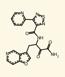 NC(=O)C(=O)C(Cc1coc2ccncc12)NC(=O)c1nsnc1-c1ccccn1